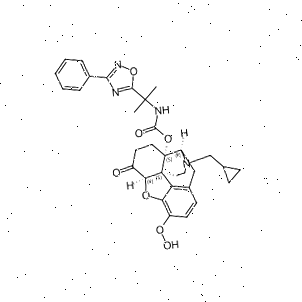 CC(C)(NC(=O)O[C@@]12CCC(=O)[C@@H]3Oc4c(OO)ccc5c4[C@@]31CCN(CC1CC1)[C@@H]2C5)c1nc(-c2ccccc2)no1